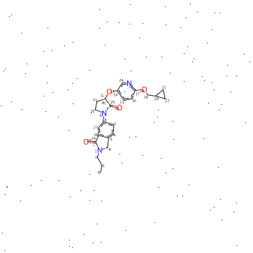 CCCN1Cc2ccc(N3CC[C@@H](Oc4ccc(OCC5CC5)nc4)C3=O)cc2C1=O